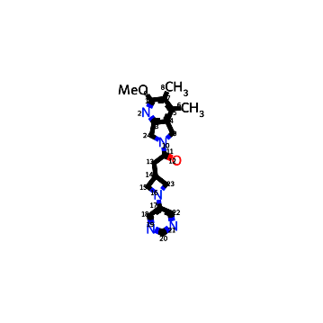 COc1nc2c(c(C)c1C)CN(C(=O)CC1CN(c3cncnc3)C1)C2